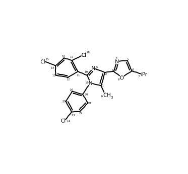 Cc1c(-c2ncc(C(C)C)o2)nc(-c2ccc(Cl)cc2Cl)n1-c1ccc(Cl)cc1